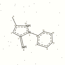 Cc1cc(=N)n(-c2ccccc2)[nH]1